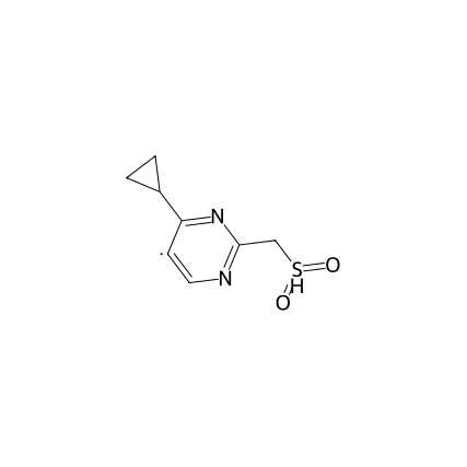 O=[SH](=O)Cc1nc[c]c(C2CC2)n1